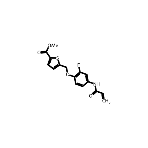 C=CC(=O)Nc1ccc(OCc2ccc(C(=O)OC)s2)c(F)c1